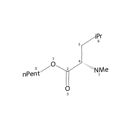 CCCCCOC(=O)[C@H](CC(C)C)NC